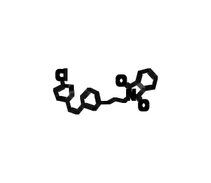 O=C1c2ccccc2C(=O)N1CCCc1cccc(/C=C\c2ccc(Cl)cc2)c1